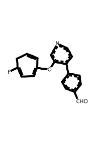 O=Cc1ccc(-c2ccncc2OC2=CC=C(F)CC=C2)cc1